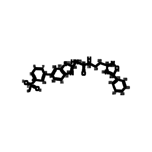 CS(=O)(=O)c1cccc(-c2ccc3nc(NC(=O)NCCc4noc(-c5ccccc5)n4)sc3c2)c1